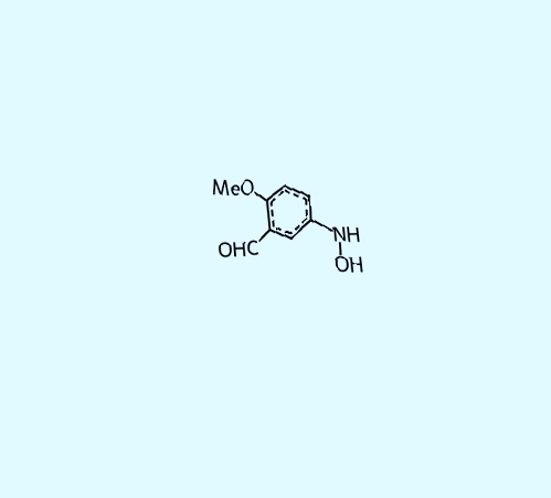 COc1ccc(NO)cc1C=O